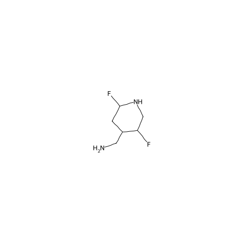 NCC1CC(F)NCC1F